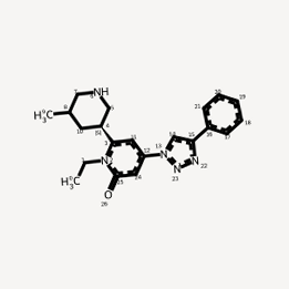 CCn1c([C@@H]2CNCC(C)C2)cc(-n2cc(-c3ccccc3)nn2)cc1=O